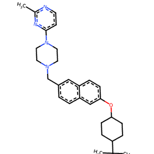 Cc1nccc(N2CCN(Cc3ccc4cc(OC5CCC(C(C)(C)C)CC5)ccc4c3)CC2)n1